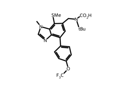 CSc1c(CN(C(=O)O)C(C)(C)C)cc(-c2ccc(OC(F)(F)F)cc2)c2ncn(C)c12